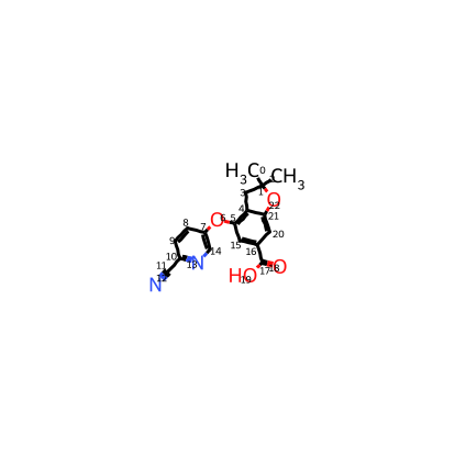 CC1(C)Cc2c(Oc3ccc(C#N)nc3)cc(C(=O)O)cc2O1